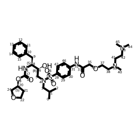 CC(C)CN(C[C@@H](O)[C@H](Cc1ccccc1)NC(=O)O[C@H]1CCOC1)S(=O)(=O)c1ccc(NC(=O)COCCN(C)CCN(C)C)cc1